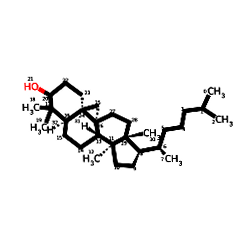 CC(C)CCC[C@@H](C)[C@H]1CC[C@@]2(C)[C@@H]3CC[C@H]4C(C)(C)C(O)CC[C@@]45C[C@]35CC[C@]12C